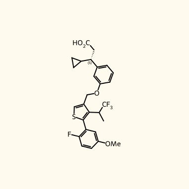 COc1ccc(F)c(-c2scc(COc3cccc([C@@H](CC(=O)O)C4CC4)c3)c2C(C)C(F)(F)F)c1